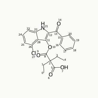 CCC(CC)(C(=O)O)C(=O)Oc1c(C(=O)c2ccccc2)[nH]c2cccc(Cl)c12